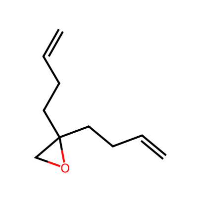 C=CCCC1(CCC=C)CO1